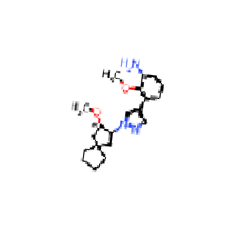 COc1c(N)cccc1-c1cnn(C2CC3(CCCC3)C[C@H]2OC)c1